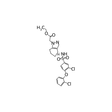 CCOC(=O)Cn1ncc2c1CCC[C@H]2NS(=O)(=O)c1ccc(Oc2ccccc2Cl)c(Cl)c1